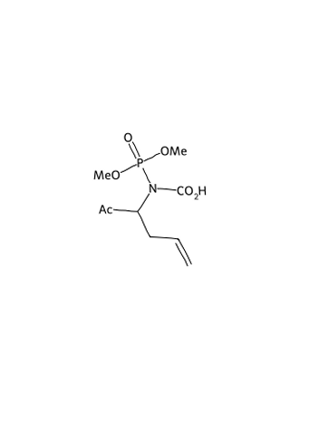 C=CCC(C(C)=O)N(C(=O)O)P(=O)(OC)OC